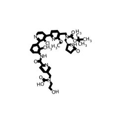 COc1nc(-c2ccnc(-c3cccc(NC(=O)c4ccc(CN(CCO)C(=O)O)cn4)c3C)c2Cl)ccc1CN(C[C@@H]1CCC(=O)N1)C(=O)OC(C)(C)C